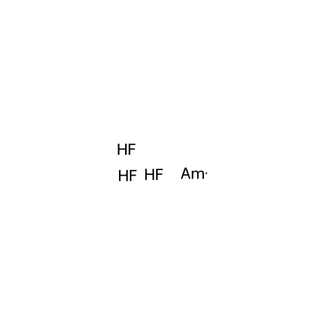 F.F.F.[Am]